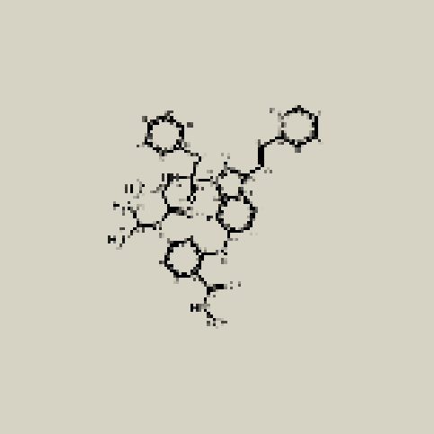 CNC(=O)c1ccccc1Sc1ccc2c(/C=C/c3ccccn3)nn([P@@](=O)(N[C@@H](C)C(=O)OC(C)C)Oc3ccccc3)c2c1